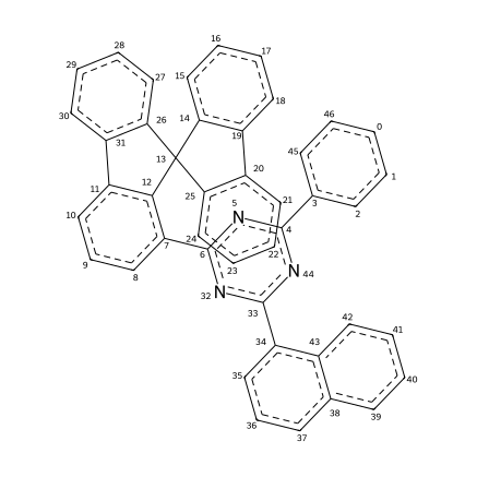 c1ccc(-c2nc(-c3cccc4c3C3(c5ccccc5-c5ccccc53)c3ccccc3-4)nc(-c3cccc4ccccc34)n2)cc1